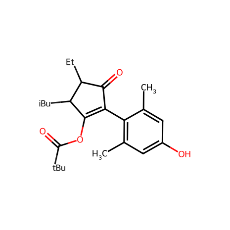 CCC(C)C1C(OC(=O)C(C)(C)C)=C(c2c(C)cc(O)cc2C)C(=O)C1CC